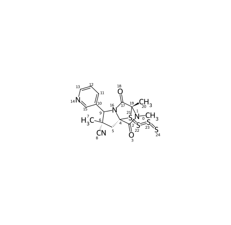 CN1C(=O)[C@@]23C[C@](C)(C#N)C(c4cccnc4)N2C(=O)[C@@]1(C)S3=S=S=S